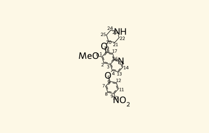 COc1cc2c(Oc3ccc([N+](=O)[O-])cc3)ccnc2cc1OC1CCNCC1